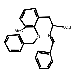 COc1cccc(CC(/N=C/c2ccccc2)C(=O)O)c1OCc1ccccc1